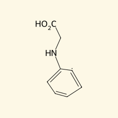 O=C(O)CNc1[c]cccc1